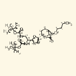 CCCCON1C(=O)N2CC1CC[C@H]2c1nnc(C(CNC(=O)OC(C)(C)C)NC(=O)OC(C)(C)C)o1